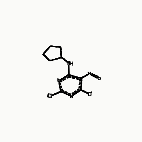 O=Nc1c(Cl)nc(Cl)nc1NC1CCCC1